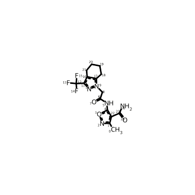 Cc1noc(NC(=O)Cn2nc(C(F)(F)F)c3c2CCCC3)c1C(N)=O